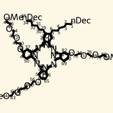 CCCCCCCCCCCCCCCCc1cc2c3nc4nc(nc5[nH]c(nc6nc(nc([nH]3)c2cc1CCCCCCCCCCCCCCCC)-c1cc(OCCOCCOCCOC)ccc1-6)c1cc(OCCOCCOCCOC)ccc51)-c1ccc(OCCOCCOCCOC)cc1-4